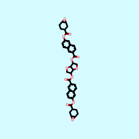 O=C(OC1COC2C(OC(=O)c3ccc4cc(OC(=O)C5CCC6OC6C5)ccc4c3)COC12)c1ccc2cc(OC(=O)C3CCC4OC4C3)ccc2c1